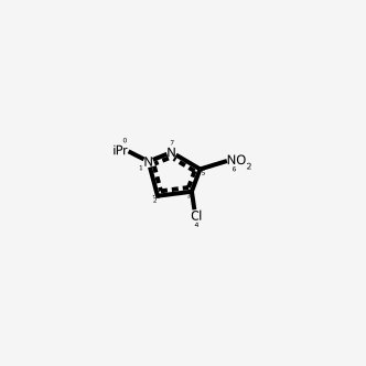 CC(C)n1[c]c(Cl)c([N+](=O)[O-])n1